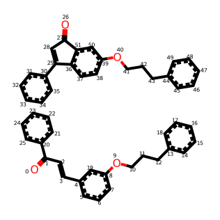 O=C(C=Cc1cccc(OCCCc2ccccc2)c1)c1ccccc1.O=C1C=C(c2ccccc2)c2ccc(OCCCc3ccccc3)cc21